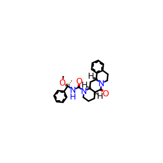 CO[C@@](C)(NC(=O)N1CCC[C@@H]2C(=O)N3CCc4ccccc4[C@H]3C[C@@H]21)c1ccccc1